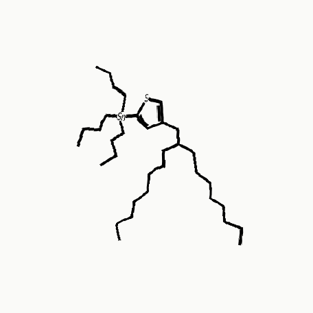 CCCCCCCCC(CCCCCCCC)Cc1cs[c]([Sn]([CH2]CCC)([CH2]CCC)[CH2]CCC)c1